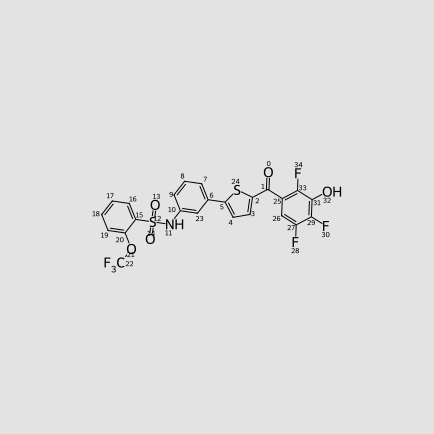 O=C(c1ccc(-c2cccc(NS(=O)(=O)c3ccccc3OC(F)(F)F)c2)s1)c1cc(F)c(F)c(O)c1F